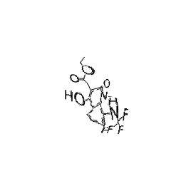 CCOC(=O)c1c(O)c2ccc(F)c(NC(F)(F)F)c2n(C)c1=O